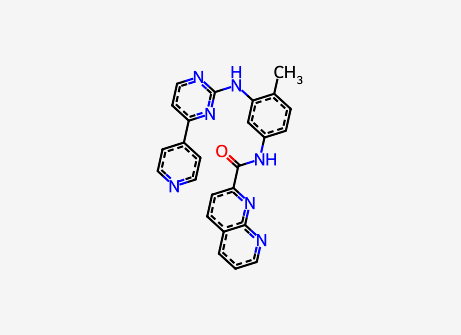 Cc1ccc(NC(=O)c2ccc3cccnc3n2)cc1Nc1nccc(-c2ccncc2)n1